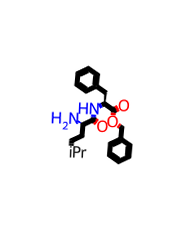 CC(C)CC[C@H](N)C(=O)N[C@@H](Cc1ccccc1)C(=O)OCc1ccccc1